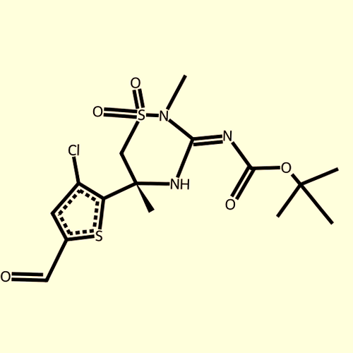 CN1/C(=N/C(=O)OC(C)(C)C)N[C@](C)(c2sc(C=O)cc2Cl)CS1(=O)=O